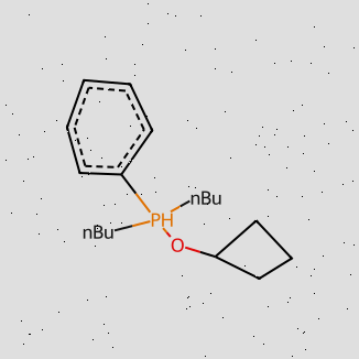 CCCC[PH](CCCC)(OC1CCC1)c1ccccc1